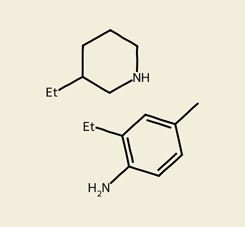 CCC1CCCNC1.CCc1cc(C)ccc1N